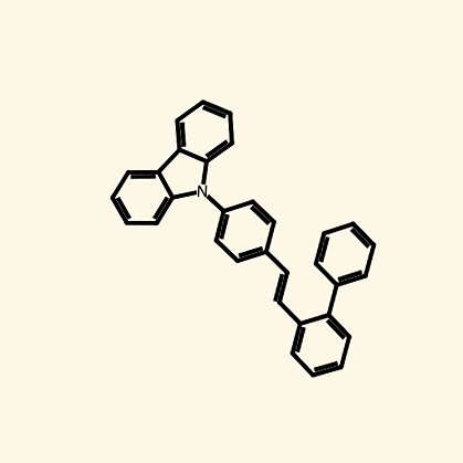 C(=Cc1ccccc1-c1ccccc1)c1ccc(-n2c3ccccc3c3ccccc32)cc1